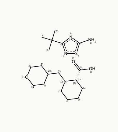 CC(C)(C)c1nsc(N)n1.O=C(O)[C@@H]1CCCCN1CC1CCOCC1